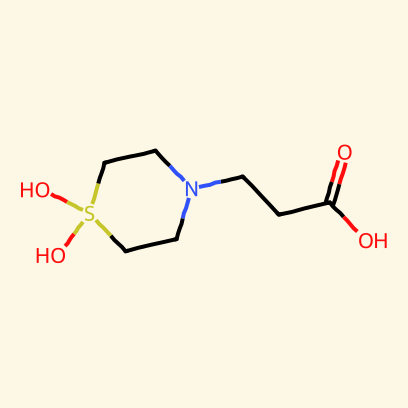 O=C(O)CCN1CCS(O)(O)CC1